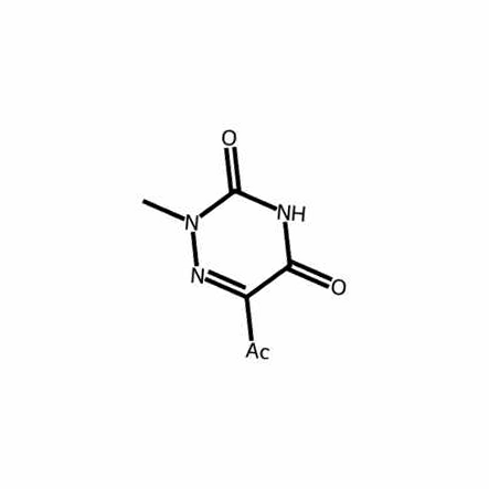 CC(=O)c1nn(C)c(=O)[nH]c1=O